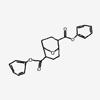 O=C(Oc1ccccc1)C1CCC2OC1CCC2C(=O)Oc1ccccc1